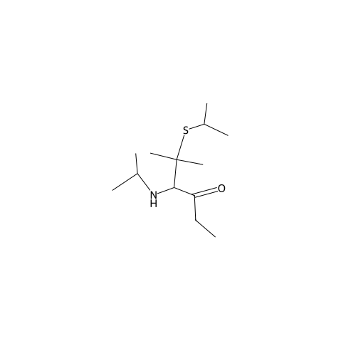 CCC(=O)C(NC(C)C)C(C)(C)SC(C)C